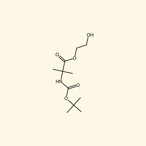 CC(C)(C)OC(=O)NC(C)(C)C(=O)OCCO